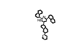 C1=C(c2ccc3cc(-c4ccccc4)ccc3c2)NC(c2cccc3ccccc23)N=C1c1cccc2ccccc12